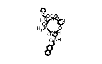 CN1C[C@H](NC(=O)CN2CCCC2)C(=O)N(C)CC(=O)N2C[C@@H](NC(=O)Cc3ccc4ccccc4c3)C[C@H]2COc2cncc(c2)C1=O